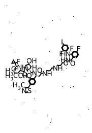 Cc1ncsc1-c1ccc([C@H](CC(=O)NCCCNCCCONC(=O)c2ccc(F)c(F)c2Nc2ccc(I)cc2F)NC(=O)[C@@H]2C[C@@H](O)CN2C(=O)C(NC(=O)C2(F)CC2)C(C)(C)C)cc1